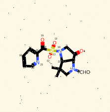 CC1(C)CN([C]=O)C2C(=O)CN(S(=O)(=O)C(=O)c3ccccn3)C21